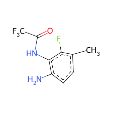 Cc1ccc(N)c(NC(=O)C(F)(F)F)c1F